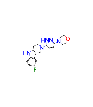 N=C(/C=C\C(=N)N1CCC2Nc3ccc(F)cc3C2C1)N1CCOCC1